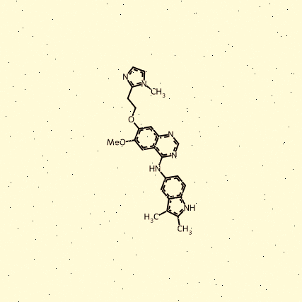 COc1cc2c(Nc3ccc4[nH]c(C)c(C)c4c3)ncnc2cc1OCCc1nccn1C